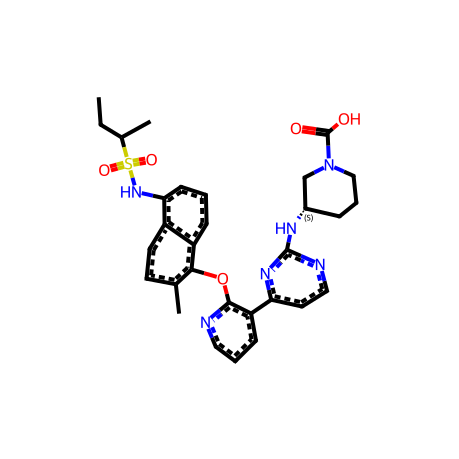 CCC(C)S(=O)(=O)Nc1cccc2c(Oc3ncccc3-c3ccnc(N[C@H]4CCCN(C(=O)O)C4)n3)c(C)ccc12